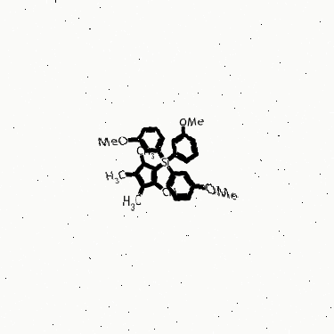 COc1cccc([Si](C2=C(C)C(C)=C(C)C2C)(c2cccc(OC)c2)c2cccc(OC)c2)c1